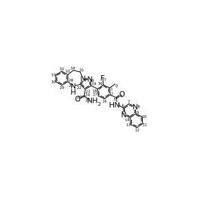 Cc1c(C(=O)Nc2cnc3ccccc3n2)ccc(-c2nn3c(c2C(N)=O)Nc2ccccc2CC3)c1F